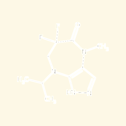 CC(C)N1CC(F)(F)C(=O)N(C)c2cn[nH]c21